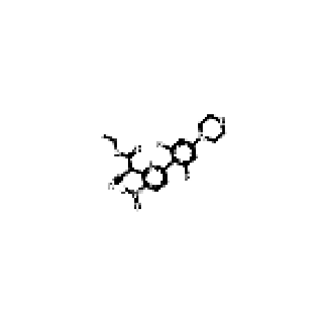 CCOC(=O)C(C#N)c1nc(-c2c(F)cc(N3CCOCC3)cc2F)ccc1[N+](=O)[O-]